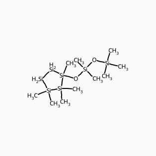 C[Si](C)(C)O[Si](C)(C)O[Si]1(C)[SiH2][SiH2][Si](C)(C)[Si]1(C)C